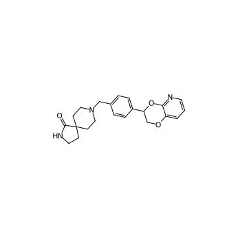 O=C1NCCC12CCN(Cc1ccc(C3COc4cccnc4O3)cc1)CC2